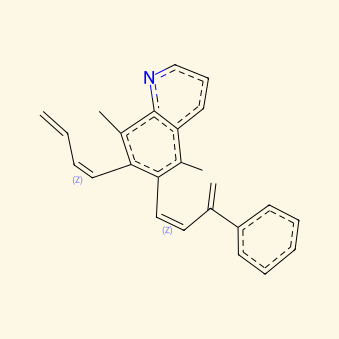 C=C/C=C\c1c(/C=C\C(=C)c2ccccc2)c(C)c2cccnc2c1C